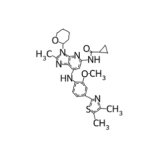 COc1cc(-c2nc(C)c(C)s2)ccc1Nc1cc(NC(=O)C2CC2)nc2c1nc(C)n2C1CCCCO1